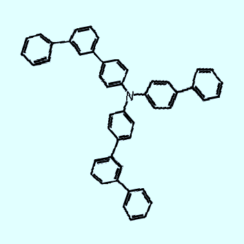 c1ccc(-c2ccc(N(c3ccc(-c4cccc(-c5ccccc5)c4)cc3)c3ccc(-c4cccc(-c5ccccc5)c4)cc3)cc2)cc1